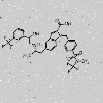 CC(Cc1ccc2c(c1)cc(C(=O)O)n2Cc1ccc(S(=O)(=O)N(C)C(F)(F)F)cc1)NCC(O)c1cccc(C(F)(F)F)c1